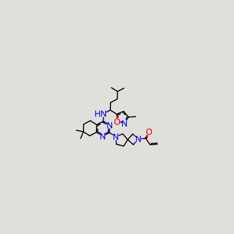 C=CC(=O)N1CC2(CCN(c3nc4c(c(NC(CCC(C)C)c5cc(C)no5)n3)CCC(C)(C)C4)C2)C1